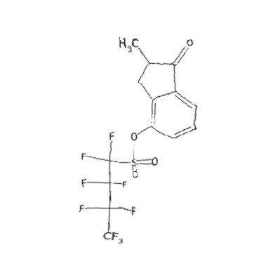 CC1Cc2c(OS(=O)(=O)C(F)(F)C(F)(F)C(F)(F)C(F)(F)F)cccc2C1=O